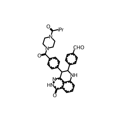 CC(C)C(=O)N1CCN(C(=O)c2ccc(C3c4n[nH]c(=O)c5cccc(c45)NC3c3ccc(C=O)cc3)cc2)CC1